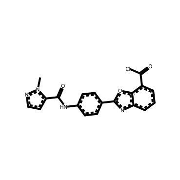 Cn1nccc1C(=O)Nc1ccc(-c2nc3cccc(C(=O)Cl)c3o2)cc1